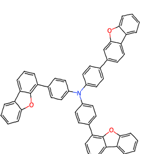 c1ccc2c(c1)oc1cc(-c3ccc(N(c4ccc(-c5cccc6c5oc5ccccc56)cc4)c4ccc(-c5cccc6c5oc5ccccc56)cc4)cc3)ccc12